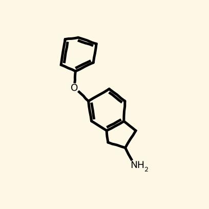 NC1Cc2ccc(Oc3ccccc3)cc2C1